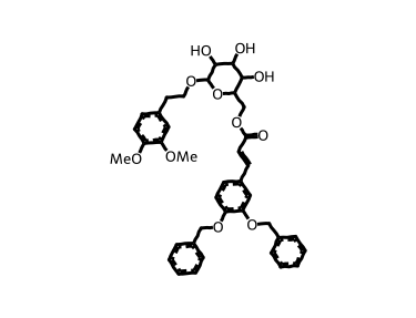 COc1ccc(CCOC2OC(COC(=O)/C=C/c3ccc(OCc4ccccc4)c(OCc4ccccc4)c3)C(O)C(O)C2O)cc1OC